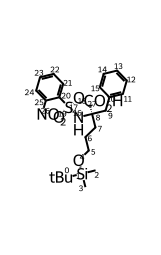 CC(C)(C)[Si](C)(C)OCCC[C@](Cc1ccccc1)(NS(=O)(=O)c1ccccc1[N+](=O)[O-])C(=O)O